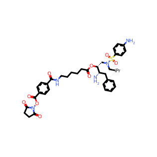 CC(C)CN(C[C@@H](OC(=O)CCCCCNC(=O)c1ccc(C(=O)ON2C(=O)CCC2=O)cc1)[C@@H](N)Cc1ccccc1)S(=O)(=O)c1ccc(N)cc1